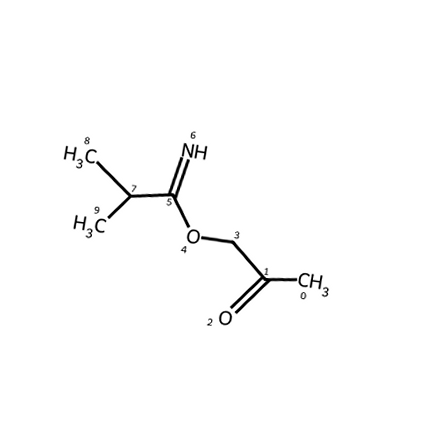 CC(=O)COC(=N)C(C)C